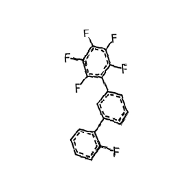 Fc1ccccc1-c1cccc(-c2c(F)c(F)c(F)c(F)c2F)c1